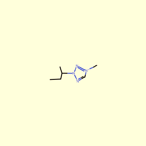 CCC(C)n1nc[n+](C)n1